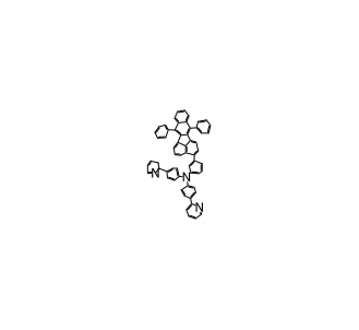 C1=CCC(c2ccc(N(c3ccc(-c4ccccn4)cc3)c3cccc(-c4ccc5c6c(cccc46)-c4c-5c(-c5ccccc5)c5ccccc5c4-c4ccccc4)c3)cc2)N=C1